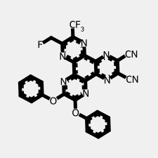 N#Cc1nc2c(nc1C#N)c1nc(C(F)(F)F)c(CF)nc1c1nc(Oc3ccccc3)c(Oc3ccccc3)nc21